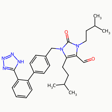 CC(C)CCc1c(C=O)n(CCC(C)C)c(=O)n1Cc1ccc(-c2ccccc2-c2nnn[nH]2)cc1